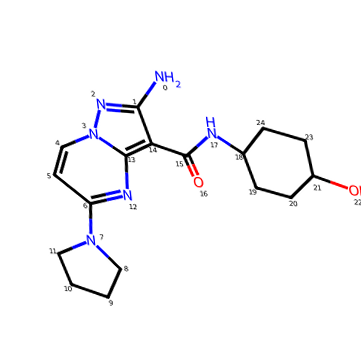 Nc1nn2ccc(N3CCCC3)nc2c1C(=O)NC1CCC(O)CC1